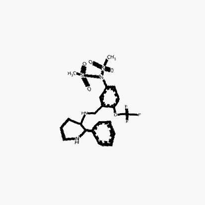 CS(=O)(=O)N(c1ccc(OC(F)(F)F)c(CNC2CCCNC2c2ccccc2)c1)S(C)(=O)=O